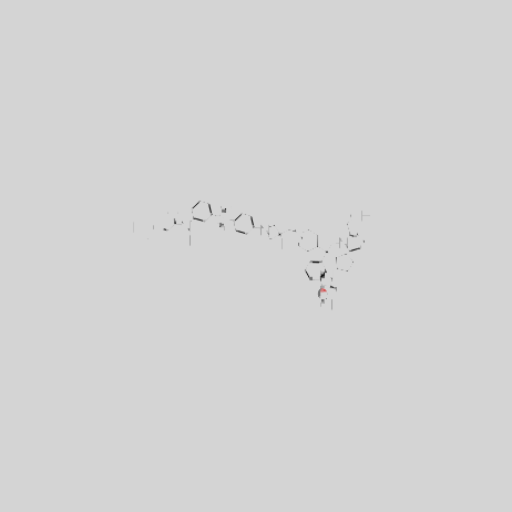 C=CC(=O)Nc1cccc(S(=O)(=O)c2ccc(N3CC(F)(CN4CCC(C(Cn5ccnc5CC)(c5cccc(F)c5)[C@H]5CCC[C@@H]5NC(=O)OC)CC4)C3)cc2)c1